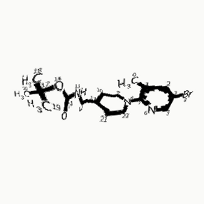 Cc1cc(Br)cnc1N1CCC(CNC(=O)OC(C)(C)C)CC1